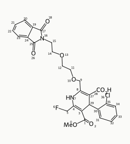 COC(=O)C1=C(CF)NC(COCCOCCN2C(=O)c3ccccc3C2=O)=C(C(=O)O)C1c1ccccc1Cl